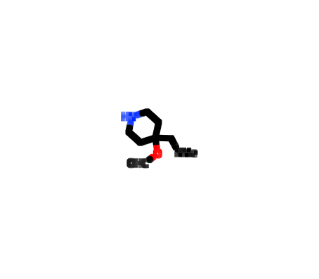 CNCC1(OC=O)CCNCC1